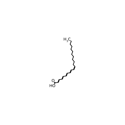 CCCCCCCCCCC\C=C/C=C/C=C/C=CC=CC(=O)O